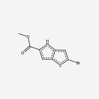 COC(=O)c1cc2sc(Br)cc2[nH]1